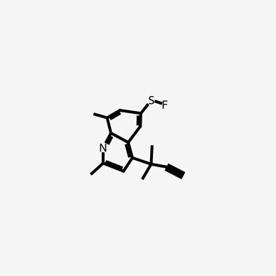 C#CC(C)(C)c1cc(C)nc2c(C)cc(SF)cc12